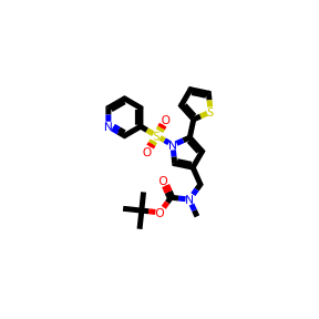 CN(Cc1cc(-c2cccs2)n(S(=O)(=O)c2cccnc2)c1)C(=O)OC(C)(C)C